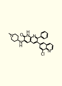 CN1CCC(Nc2cc3cc(-c4cc(Cl)c5ncccc5c4)c(-c4ccccc4)nc3[nH]c2=O)CC1